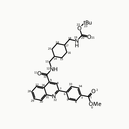 COC(=O)c1ccc(-c2cc(C(=O)NCC3CCC(CNC(=O)OC(C)(C)C)CC3)c3ccccc3n2)cc1